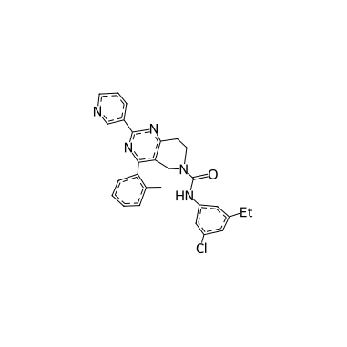 CCc1cc(Cl)cc(NC(=O)N2CCc3nc(-c4cccnc4)nc(-c4ccccc4C)c3C2)c1